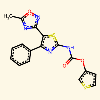 Cc1nc(-c2sc(NC(=O)Oc3ccsc3)nc2-c2ccccc2)no1